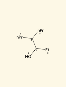 [CH2]CC(O)C(CCC)CCC